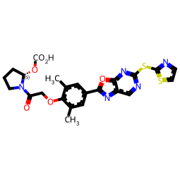 Cc1cc(-c2nc3cnc(Sc4nccs4)nc3o2)cc(C)c1OCC(=O)N1CCC[C@@H]1OC(=O)O